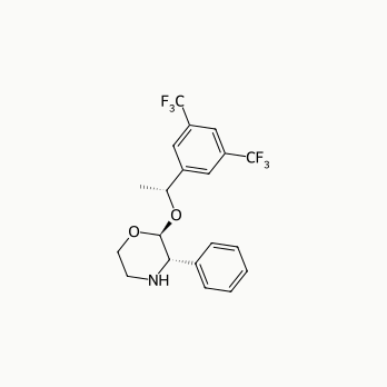 C[C@@H](O[C@@H]1OCCN[C@H]1c1ccccc1)c1cc(C(F)(F)F)cc(C(F)(F)F)c1